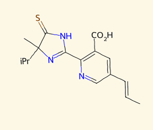 CC=Cc1cnc(C2=NC(C)(C(C)C)C(=S)N2)c(C(=O)O)c1